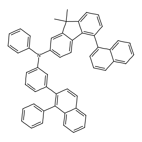 CC1(C)c2cc(N(c3ccccc3)c3cccc(-c4ccc5ccccc5c4-c4ccccc4)c3)ccc2-c2c(-c3cccc4ccccc34)cccc21